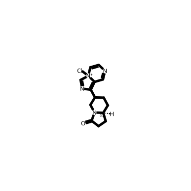 O=C1CC[C@@H]2CCC(C3=C4C=NC=C[N+]4(Cl)C=N3)CN12